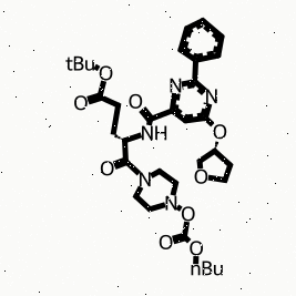 CCCCOC(=O)ON1CCN(C(=O)[C@H](CCC(=O)OC(C)(C)C)NC(=O)c2cc(O[C@@H]3CCOC3)nc(-c3ccccc3)n2)CC1